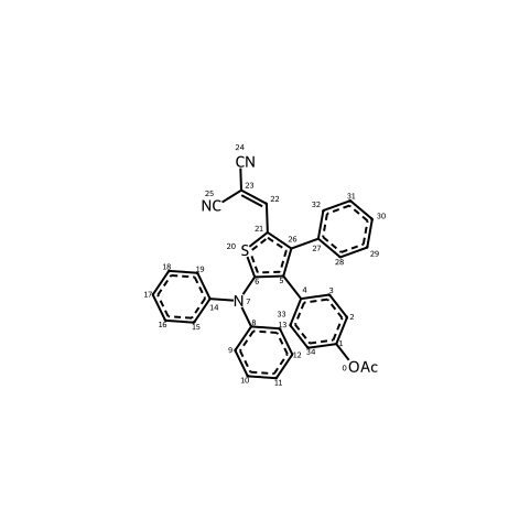 CC(=O)Oc1ccc(-c2c(N(c3ccccc3)c3ccccc3)sc(C=C(C#N)C#N)c2-c2ccccc2)cc1